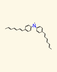 C/C=C/C=C/C=C/c1ccc(N(C)c2ccc(/C=C/C=C/C=C/C)cc2)cc1